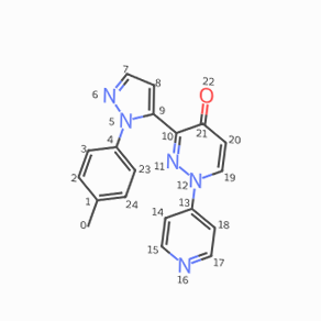 Cc1ccc(-n2nccc2-c2nn(-c3ccncc3)ccc2=O)cc1